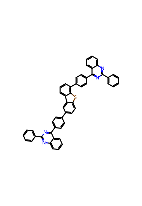 c1ccc(-c2nc(-c3ccc(-c4ccc5sc6c(-c7ccc(-c8nc(-c9ccccc9)nc9ccccc89)cc7)cccc6c5c4)cc3)c3ccccc3n2)cc1